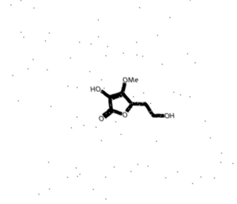 COC1=C(O)C(=O)OC1CCO